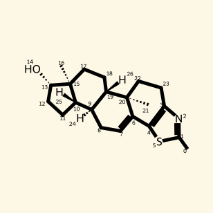 Cc1nc2c(s1)C1=CC[C@H]3[C@@H]4CC[C@H](O)[C@@]4(C)CC[C@@H]3[C@@]1(C)CC2